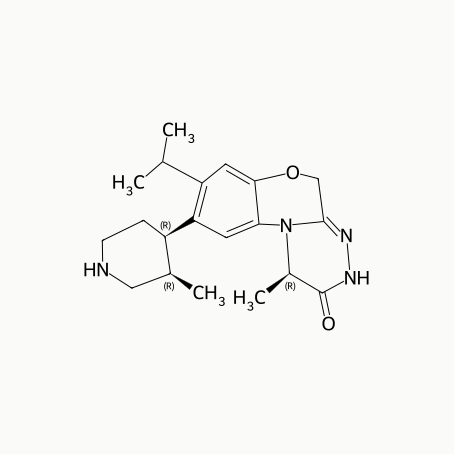 CC(C)c1cc2c(cc1[C@@H]1CCNC[C@@H]1C)N1C(=NNC(=O)[C@H]1C)CO2